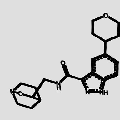 O=C(NCC1CN2CCC1CC2)c1n[nH]c2ccc(C3CCOCC3)cc12